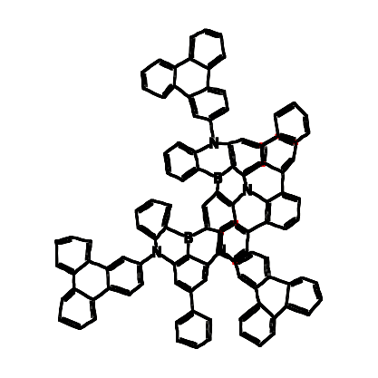 c1ccc(-c2cc3c4c(c2)N(c2ccc5c6ccccc6c6ccccc6c5c2)c2cc5c(cc2B4c2ccccc2N3c2ccc3c4ccccc4c4ccccc4c3c2)B2c3ccccc3N(c3ccc4c6ccccc6c6ccccc6c4c3)c3cc(-c4ccccc4)cc(c32)N5c2c(-c3ccccc3)cccc2-c2ccccc2)cc1